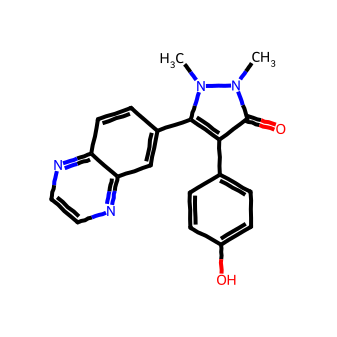 Cn1c(-c2ccc3nccnc3c2)c(-c2ccc(O)cc2)c(=O)n1C